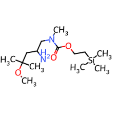 COC(C)(C)CC(N)CN(C)C(=O)OCC[Si](C)(C)C